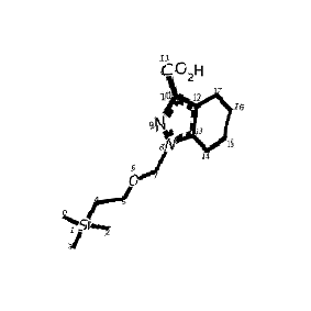 C[Si](C)(C)CCOCn1nc(C(=O)O)c2c1CCCC2